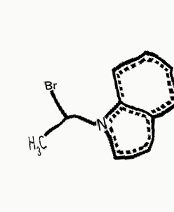 CC(Br)n1ccc2ccccc21